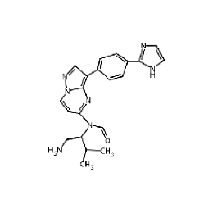 CC(C)[C@@H](CN)N(C=O)c1ccn2ncc(-c3ccc(-c4ncc[nH]4)cc3)c2n1